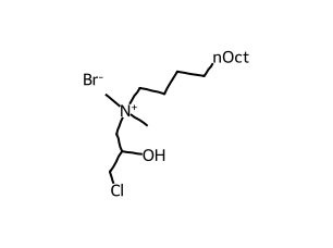 CCCCCCCCCCCC[N+](C)(C)CC(O)CCl.[Br-]